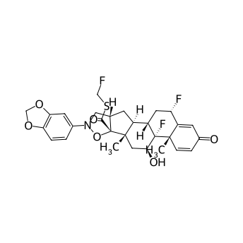 C[C@]12C=CC(=O)C=C1[C@@H](F)C[C@H]1[C@@H]3C[C@H]4CN(c5ccc6c(c5)OCO6)O[C@@]4(C(=O)SCF)[C@@]3(C)C[C@H](O)[C@@]12F